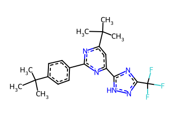 CC(C)(C)c1ccc(-c2nc(-c3nc(C(F)(F)F)n[nH]3)cc(C(C)(C)C)n2)cc1